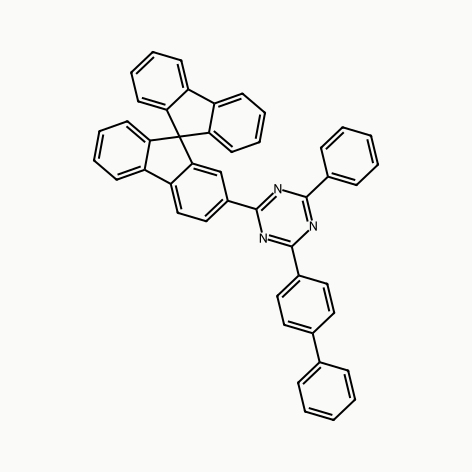 c1ccc(-c2ccc(-c3nc(-c4ccccc4)nc(-c4ccc5c(c4)C4(c6ccccc6-c6ccccc64)c4ccccc4-5)n3)cc2)cc1